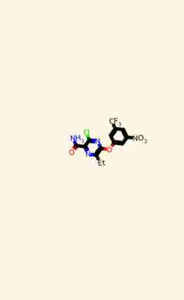 CCc1nc(C(N)=O)c(Cl)nc1Oc1cc([N+](=O)[O-])cc(C(F)(F)F)c1